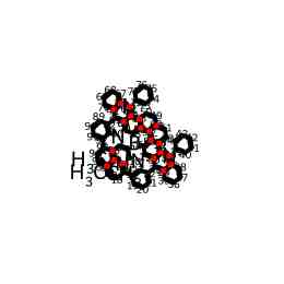 CC(C)(C)c1cc2c3c(n1)N(c1c(-c4ccccc4)cccc1-c1ccccc1)c1cc(N(c4ccccc4)c4ccccc4)cc(-c4ccccc4)c1B3c1c(-c3ccccc3)cc(N(c3ccccc3)c3ccccc3)cc1N2c1c(-c2ccccc2)cccc1-c1ccccc1